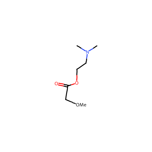 COCC(=O)OCCN(C)C